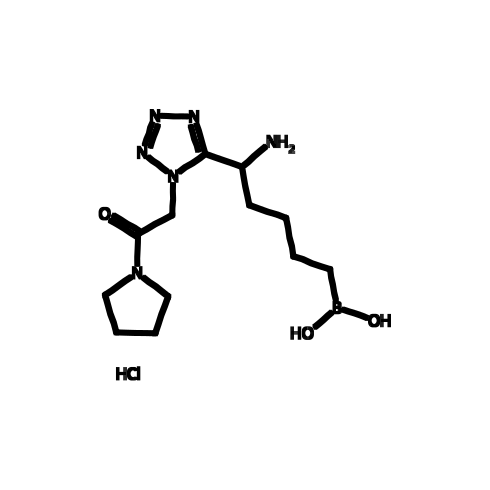 Cl.NC(CCCCB(O)O)c1nnnn1CC(=O)N1CCCC1